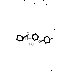 CN1CCC(Oc2cccc(NC(=O)c3ccccc3)c2)CC1.Cl